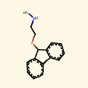 CCCNCCOC1c2ccccc2-c2ccccc21